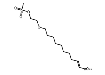 CCCCCCCCC=CCCCCCCCCOCCOS(C)(=O)=O